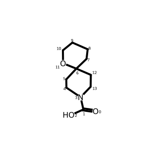 O=C(O)N1CCC2(CCCCO2)CC1